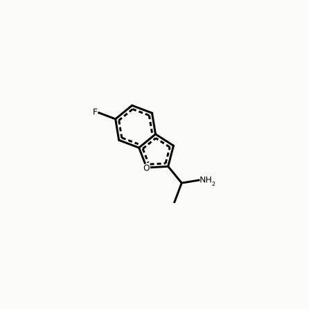 CC(N)c1cc2ccc(F)cc2o1